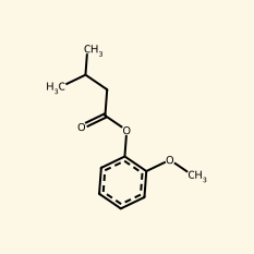 COc1ccccc1OC(=O)CC(C)C